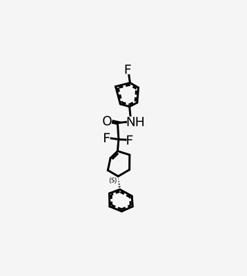 O=C(Nc1ccc(F)cc1)C(F)(F)C1=CC[C@@H](c2ccccc2)CC1